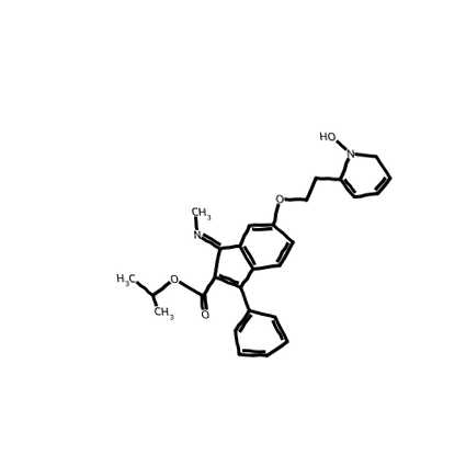 C/N=C1/C(C(=O)OC(C)C)=C(c2ccccc2)c2ccc(OCCC3=CC=CCN3O)cc21